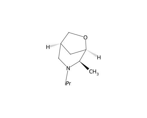 CC(C)N1C[C@H]2CO[C@H](C2)[C@H]1C